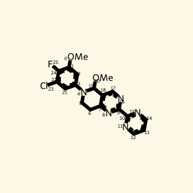 COc1cc(N2CCc3nc(-c4ncccn4)ncc3C2OC)cc(Cl)c1F